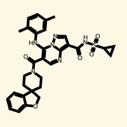 Cc1ccc(C)c(Nc2c(C(=O)N3CCC4(CC3)COc3ccccc34)cnc3c(C(=O)NS(=O)(=O)C4CC4)cnn23)c1